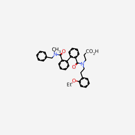 CCOc1ccccc1CCN(CCC(=O)O)C(=O)c1ccccc1-c1ccccc1C(=O)N(C)Cc1ccccc1